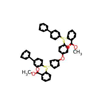 COC(=O)c1ccccc1[S+](c1ccc(Oc2ccc([S+](c3ccc(-c4ccccc4)cc3)c3ccccc3C(=O)OC)cc2)cc1)c1ccc(-c2ccccc2)cc1